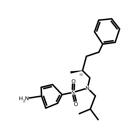 CC(C)CN(C[C@@H](C)CCc1ccccc1)S(=O)(=O)c1ccc(N)cc1